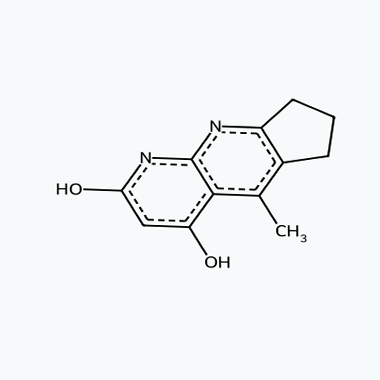 Cc1c2c(nc3nc(O)cc(O)c13)CCC2